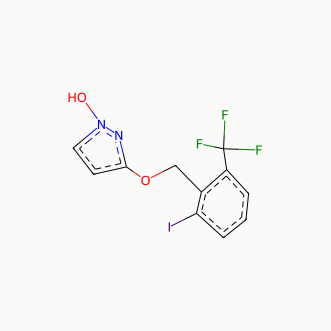 On1ccc(OCc2c(I)cccc2C(F)(F)F)n1